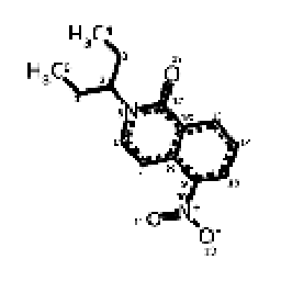 CCC(CC)n1ccc2c([N+](=O)[O-])cccc2c1=O